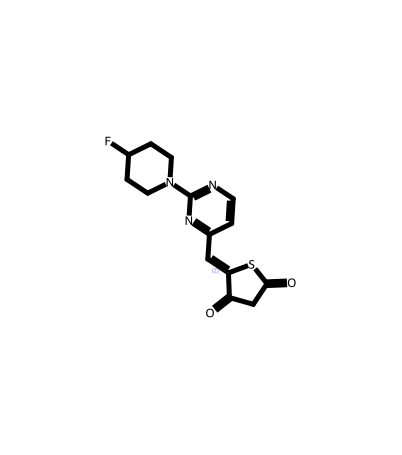 O=C1CC(=O)/C(=C/c2ccnc(N3CCC(F)CC3)n2)S1